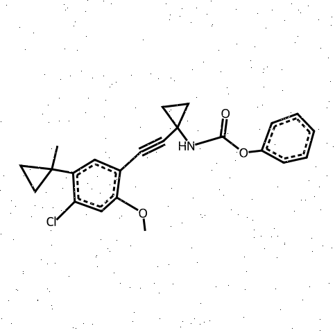 COc1cc(Cl)c(C2(C)CC2)cc1C#CC1(NC(=O)Oc2ccccc2)CC1